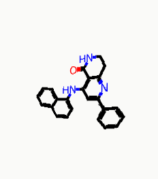 O=C1NCCc2nc(-c3ccccc3)cc(Nc3cccc4ccccc34)c21